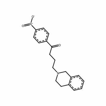 O=C(CCCN1CCc2ccccc2C1)c1ccc([N+](=O)[O-])cc1